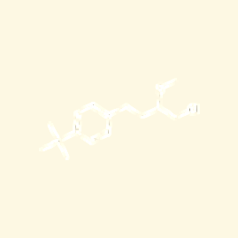 CSC(CCl)CCc1ccc(C(C)(C)C)cc1